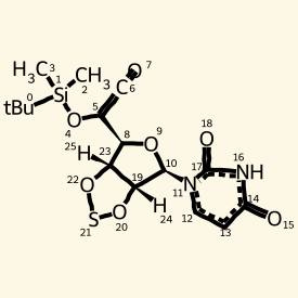 CC(C)(C)[Si](C)(C)OC(=C=O)[C@H]1O[C@@H](n2ccc(=O)[nH]c2=O)[C@@H]2OSO[C@@H]21